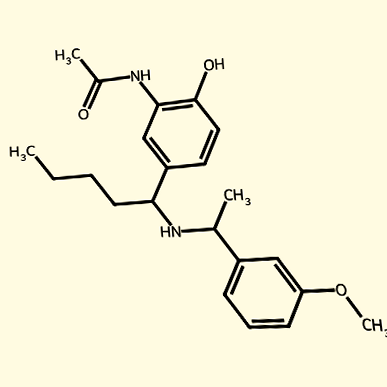 CCCCC(NC(C)c1cccc(OC)c1)c1ccc(O)c(NC(C)=O)c1